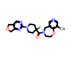 N#Cc1cncc2c1OCCN(C(=O)C1(F)CCN(c3ncc4c(n3)COC4)CC1)C2